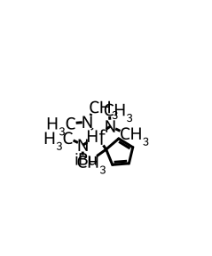 CCC(C)[C]1([Hf]([N](C)C)([N](C)C)[N](C)C)C=CC=C1